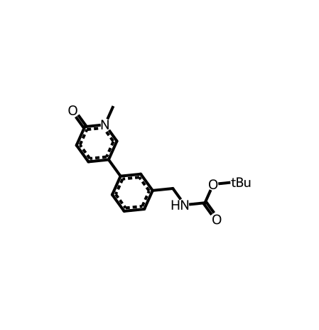 Cn1cc(-c2cccc(CNC(=O)OC(C)(C)C)c2)ccc1=O